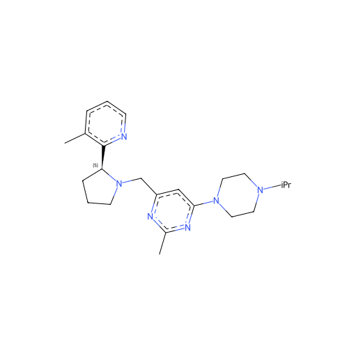 Cc1nc(CN2CCC[C@H]2c2ncccc2C)cc(N2CCN(C(C)C)CC2)n1